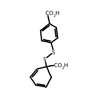 O=C(O)c1ccc(SSC2(C(=O)O)C=CC=CC2)cc1